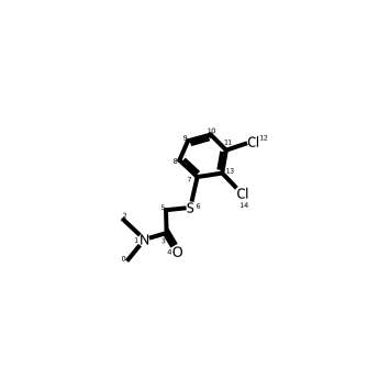 CN(C)C(=O)CSc1cc[c]c(Cl)c1Cl